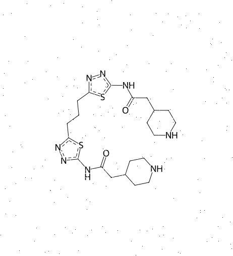 O=C(CC1CCNCC1)Nc1nnc(CCCc2nnc(NC(=O)CC3CCNCC3)s2)s1